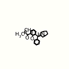 CN(C)C(=O)c1cccc2c1Oc1ccccc1C2=C1CC2CCC(C1)N2